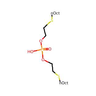 CCCCCCCCSCCOP(=O)(O)OCCSCCCCCCCC